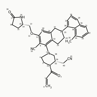 C=CC(=O)N1CCN(c2c(C#N)c(OC[C@@H]3CCC(=O)N3)nc3c2CCN(c2cccc4cccc(C)c24)C3)C[C@@H]1CC#N